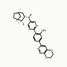 CN(c1cnc(-c2ccc(-c3cc4c(nn3)OCCO4)cc2O)nn1)[C@H]1C[C@]2(C)CC[C@@](C)(C2)[C@H]1F